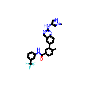 Cc1ccc(C(=O)Nc2cccc(C(F)(F)F)c2)cc1-c1ccc2nc(Nc3cnn(C)c3)ncc2c1